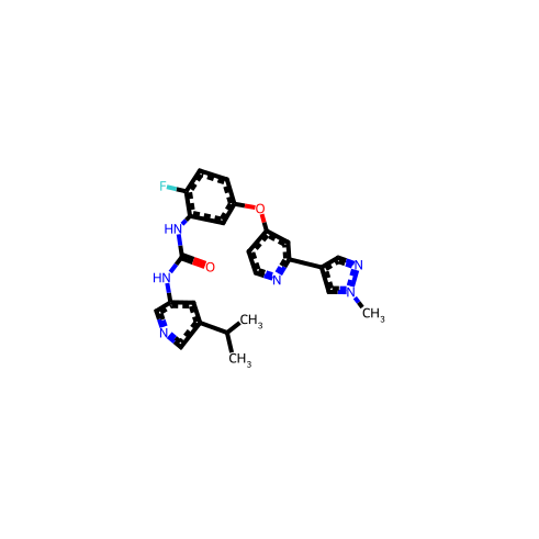 CC(C)c1cncc(NC(=O)Nc2cc(Oc3ccnc(-c4cnn(C)c4)c3)ccc2F)c1